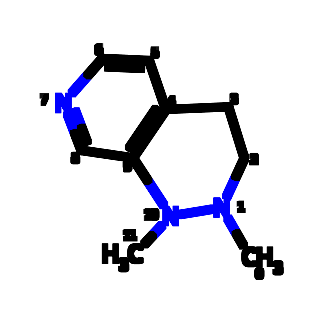 CN1CCc2ccncc2N1C